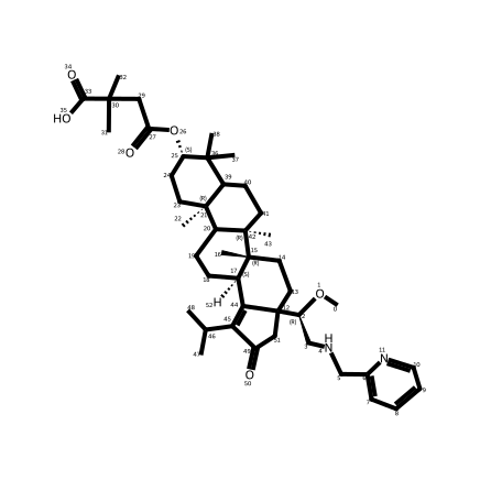 CO[C@@H](CNCc1ccccn1)C12CC[C@]3(C)[C@H](CCC4[C@@]5(C)CC[C@H](OC(=O)CC(C)(C)C(=O)O)C(C)(C)C5CC[C@]43C)C1=C(C(C)C)C(=O)C2